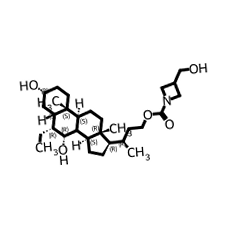 CC[C@H]1[C@@H](O)C2[C@@H]3CC[C@H]([C@H](C)CCOC(=O)N4CC(CO)C4)[C@@]3(C)CC[C@@H]2[C@@]2(C)CC[C@@H](O)C[C@@H]12